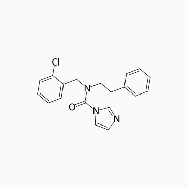 O=C(N(CCc1ccccc1)Cc1ccccc1Cl)n1ccnc1